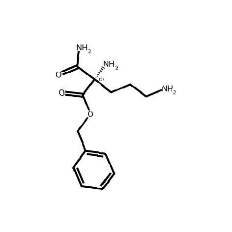 NCCC[C@](N)(C(N)=O)C(=O)OCc1ccccc1